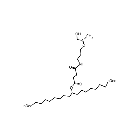 CCCCCCCCCCCCCCCCCCC(CCCCCCCCCCCCCCCCC)OC(=O)CCC(=O)NCCCON(C)CO